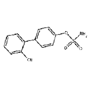 N#Cc1ccccc1-c1ccc(OS(N)(=O)=O)cc1